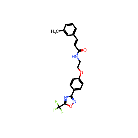 Cc1cccc(C=CC(=O)NCCOc2ccc(-c3noc(C(F)(F)F)n3)cc2)c1